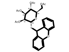 CC(=O)OC[C@H]1O[C@H](SC2c3ccccc3Oc3ccccc32)[C@@H](OC(C)=O)[C@@H](OC(C)=O)[C@@H]1OC(C)=O